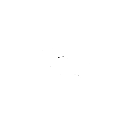 CC(NO)C1C[C@@H]1c1ccccc1Cl